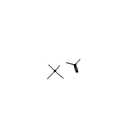 CCC(C)(C)OC(=O)C(F)(F)F